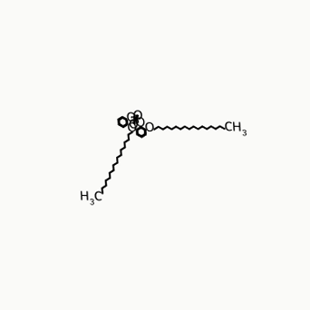 CCCCCCCCCCCCCCCCCCOc1ccccc1OS(=O)(=O)Oc1ccccc1OCCCCCCCCCCCCCCCCCC